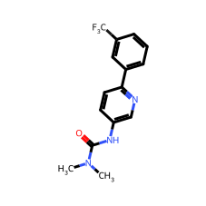 CN(C)C(=O)Nc1ccc(-c2cccc(C(F)(F)F)c2)nc1